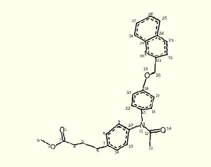 COC(=O)CCCc1ccc(N(C(C)=O)c2ccc(OCc3ccc4ccccc4n3)cc2)cc1